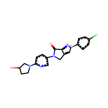 O=C1C2=N[C@@H](c3ccc(Cl)cc3)C=C2CN1c1ccc(N2CCC(O)C2)nc1